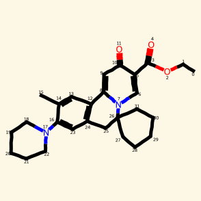 CCOC(=O)c1cn2c(cc1=O)-c1cc(C)c(N3CCCCC3)cc1CC21CCCCC1